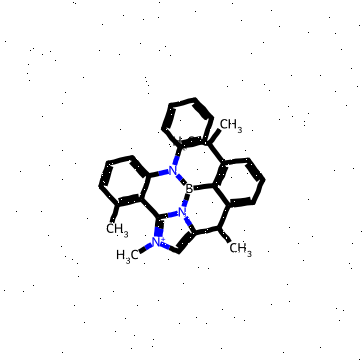 Cc1cccc2c1-c1n3c(c[n+]1C)C(C)c1cccc(C(C)C)c1B3N2c1ccccc1